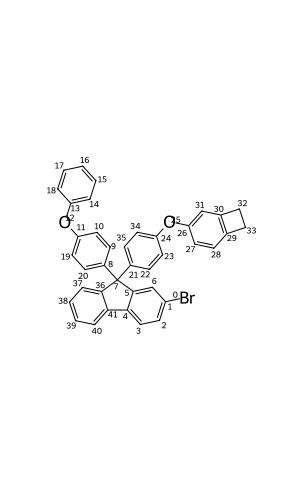 Brc1ccc2c(c1)C(c1ccc(Oc3ccccc3)cc1)(c1ccc(Oc3ccc4c(c3)CC4)cc1)c1ccccc1-2